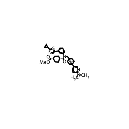 COC(=O)[C@H]1CC[C@H](C(=O)N(CC23CCC(c4ccc(N(C)C)nc4)(CC2)CC3)c2cccc(-c3cnc(C4CC4)s3)c2)CC1